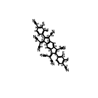 N#CC(C#N)=C1C(c2ccc(C#N)c(F)c2F)=C(C#N)c2cc3c(cc21)C(=C(C#N)C#N)C(c1ccc(C#N)c(F)c1F)=C3C#N